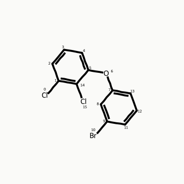 Clc1cccc(Oc2[c]c(Br)ccc2)c1Cl